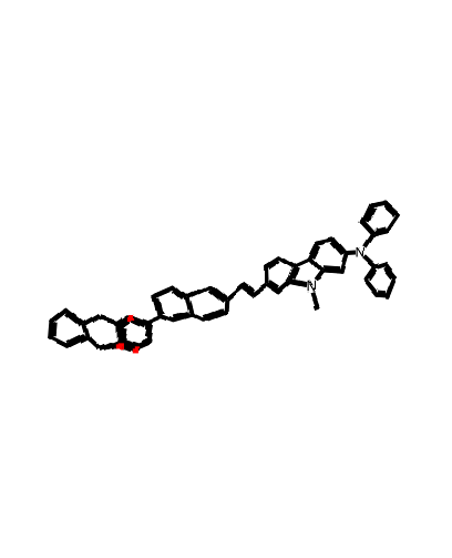 Cn1c2cc(/C=C/c3ccc4cc(-c5ccc6c(c5)C5c7ccccc7C6c6ccccc65)ccc4c3)ccc2c2ccc(N(c3ccccc3)c3ccccc3)cc21